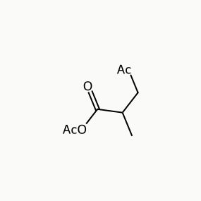 CC(=O)CC(C)C(=O)OC(C)=O